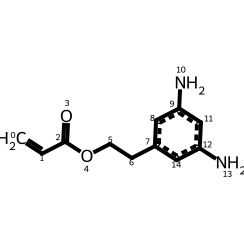 C=CC(=O)OCCc1cc(N)cc(N)c1